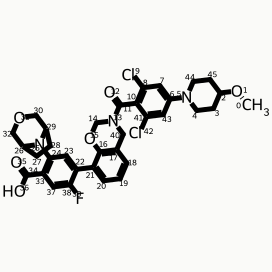 COC1CCN(c2cc(Cl)c(C(=O)N3COc4c(cccc4-c4cc(N5C6CCC5COC6)c(C(=O)O)cc4F)C3)c(Cl)c2)CC1